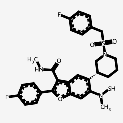 CNC(=O)c1c(-c2ccc(F)cc2)oc2cc(N(C)S)c([C@H]3CCCN(S(=O)(=O)Cc4ccc(F)cc4)C3)cc12